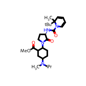 COC(=O)C1CC(N(C)C(C)C)CCC1N1CC[C@H](NC(=O)N2C=CC=CC2(C)C(C)(C)C)C1=O